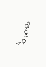 C#Cc1cc(CC(=O)N2CCN(c3ccc4nncn4n3)CC2)ccc1F